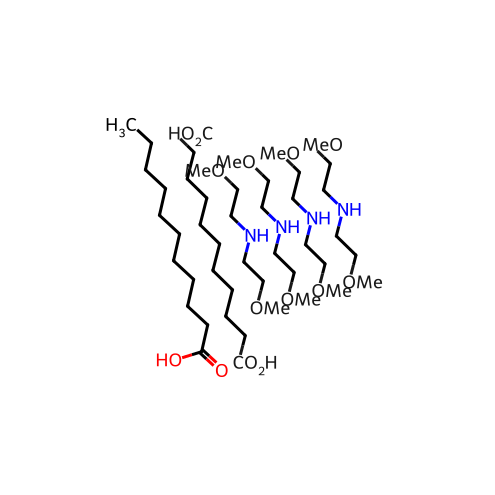 CCCCCCCCCCC(=O)O.COCCNCCOC.COCCNCCOC.COCCNCCOC.COCCNCCOC.O=C(O)CCCCCCCCCC(=O)O